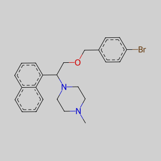 CN1CCN(C(COCc2ccc(Br)cc2)c2cccc3ccccc23)CC1